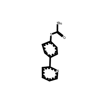 CC(C)(C)C(=O)Sc1ccc(-c2c[c]ccn2)cc1